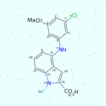 COc1cc(Cl)cc(Nc2cccc3c2cc(C(=O)O)n3F)c1